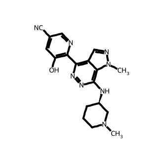 CN1CCC[C@@H](Nc2nnc(-c3ncc(C#N)cc3O)c3cnn(C)c23)C1